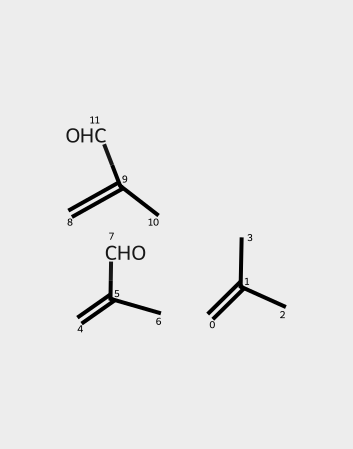 C=C(C)C.C=C(C)C=O.C=C(C)C=O